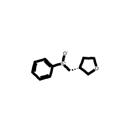 [O-][S+](C[C@@H]1CCOC1)c1ccccc1